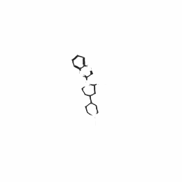 CC(C)(C)C1CC(C2CCNCC2)CCN1c1cnc2ccccc2n1